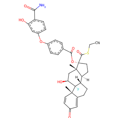 C[C@]12C=CC(=O)C=C1CC[C@H]1[C@@H]3CC[C@](OC(=O)c4ccc(Oc5ccc(C(N)=O)c(O)c5)cc4)(C(=O)SCC#N)[C@@]3(C)C[C@H](O)[C@@]12F